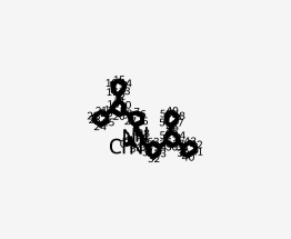 Clc1nc(-c2cccc(-c3cc(-c4ccccc4)cc(-c4ccccc4)c3)c2)nc(-c2cccc(-c3cc(-c4ccccc4)cc(-c4ccccc4)c3)c2)n1